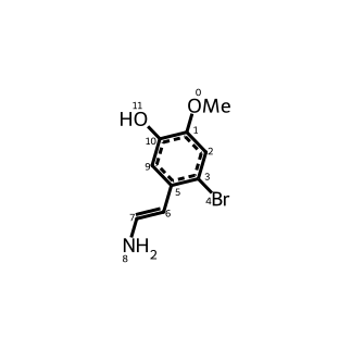 COc1cc(Br)c(/C=C/N)cc1O